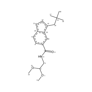 COC(CNC(=O)c1ccc2scc(CC(C)(C)C)c2c1)OC